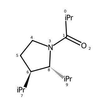 CC(C)C(=O)N1CC[C@H](C(C)C)[C@H]1C(C)C